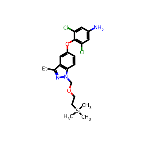 CCc1nn(COCC[Si](C)(C)C)c2ccc(Oc3c(Cl)cc(N)cc3Cl)cc12